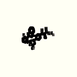 NNC(=O)Nc1ccc(N(CCCl)CCCl)c(-c2cc(-c3c(F)cccc3F)nc3ccccc23)c1